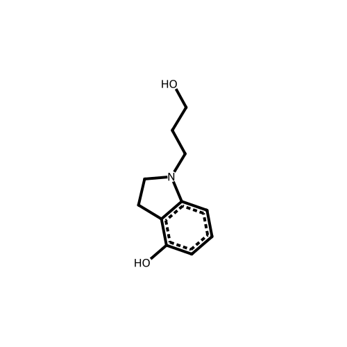 OCCCN1CCc2c(O)cccc21